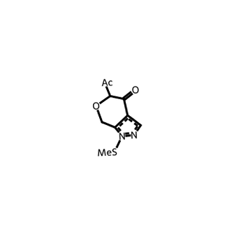 CSn1ncc2c1COC(C(C)=O)C2=O